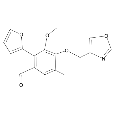 COc1c(OCc2cocn2)c(C)cc(C=O)c1-c1ccco1